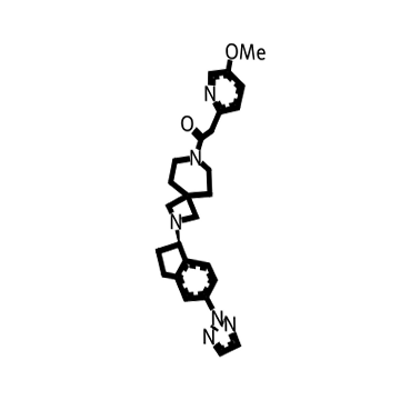 COc1ccc(CC(=O)N2CCC3(CC2)CN([C@@H]2CCc4cc(-n5nccn5)ccc42)C3)nc1